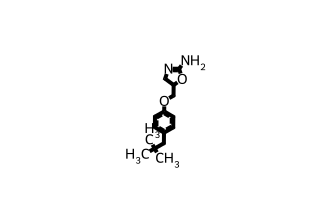 CC(C)(C)Cc1ccc(OCC2CN=C(N)O2)cc1